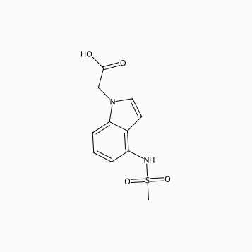 CS(=O)(=O)Nc1cccc2c1ccn2CC(=O)O